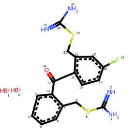 Br.Br.N=C(N)SCc1ccccc1C(=O)c1ccc(F)cc1CSC(=N)N